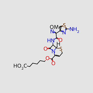 CON=C(C(=O)NC1C(=O)N2C(C(=O)OCCCCCC(=O)O)=CCS[C@@H]12)c1csc(N)n1